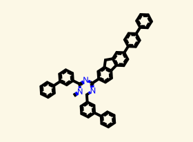 C=N/C(=N\C(=N/Cc1cccc(-c2ccccc2)c1)c1ccc2c(c1)Cc1cc(-c3ccc(-c4ccccc4)cc3)ccc1-2)c1cccc(-c2ccccc2)c1